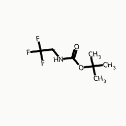 CC(C)(C)OC(=O)N[CH]C(F)(F)F